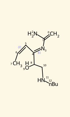 C=C(N)/N=C(\C=C/C)C(O)CNCCCC